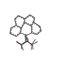 CN(C)C(=Nc1cccc2ccc3ccc4cccc(N=C(N(C)C)N(C)C)c4c3c12)N(C)C